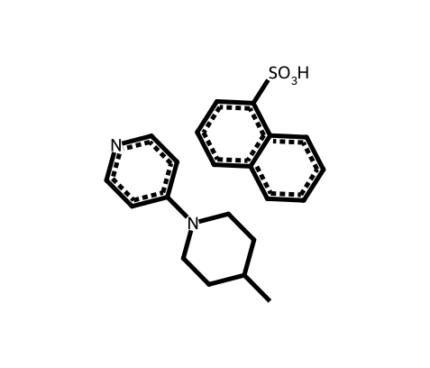 CC1CCN(c2ccncc2)CC1.O=S(=O)(O)c1cccc2ccccc12